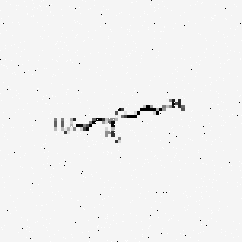 CC=CCO[SiH2]CCC